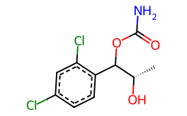 C[C@H](O)C(OC(N)=O)c1ccc(Cl)cc1Cl